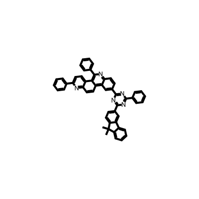 CC1(C)c2ccccc2-c2cc(-c3nc(-c4ccccc4)nc(-c4ccc5nc(-c6ccccc6)c6c7ccc(-c8ccccc8)nc7ccc6c5c4)n3)ccc21